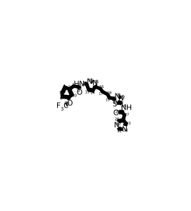 O=C(Cc1cccc(OC(F)(F)F)c1)Nc1ccc(CCCCc2nnc(NC(=O)Cc3cncnc3)s2)nn1